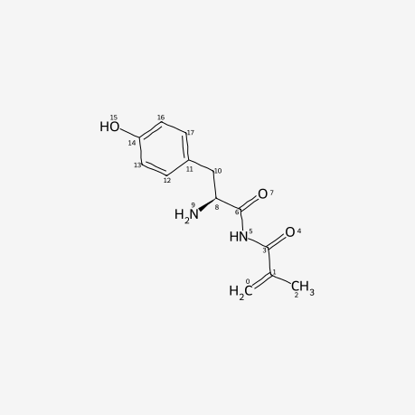 C=C(C)C(=O)NC(=O)[C@@H](N)Cc1ccc(O)cc1